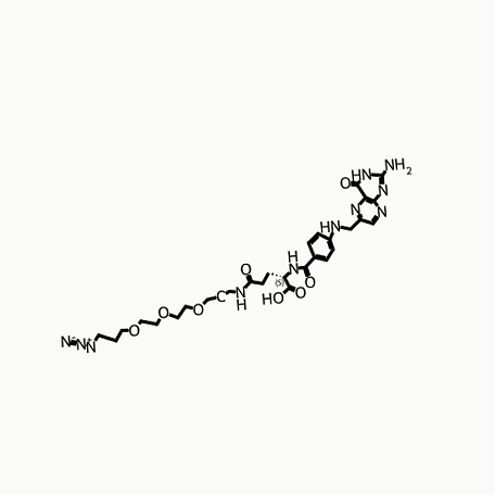 [N-]=[N+]=NCCCOCCOCCOCCCNC(=O)CC[C@H](NC(=O)c1ccc(NCc2cnc3nc(N)[nH]c(=O)c3n2)cc1)C(=O)O